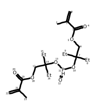 C=C(C)C(=O)OCC(CC)(CC)O[PH](=O)OC(CC)(CC)COC(=O)C(=C)C